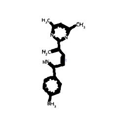 Bc1ccc(C(=N)/C=C\C(=C)c2nc(C)cc(C)n2)cc1